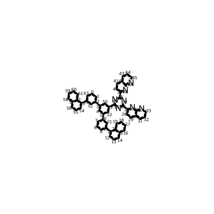 c1cc(-c2cc(-c3cccc(-c4cccc5ccccc45)c3)cc(-c3nc(-c4ccc5cccnc5n4)nc(-c4ccc5cccnc5n4)n3)c2)cc(-c2cccc3ccccc23)c1